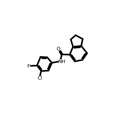 O=C(Nc1ccc(F)c(Cl)c1)c1cccc2c1CCC2